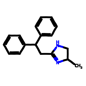 CC1CNC(CC(c2ccccc2)c2ccccc2)=N1